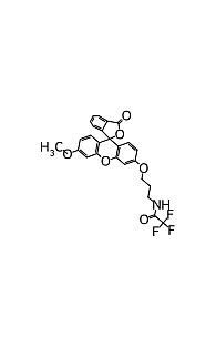 COc1ccc2c(c1)Oc1cc(OCCCNC(=O)C(F)(F)F)ccc1C21OC(=O)c2ccccc21